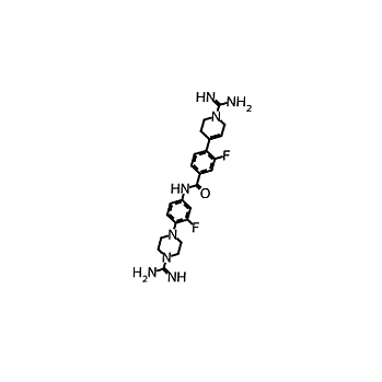 N=C(N)N1CC=C(c2ccc(C(=O)Nc3ccc(N4CCN(C(=N)N)CC4)c(F)c3)cc2F)CC1